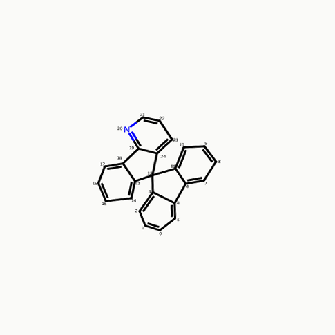 c1ccc2c(c1)-c1ccccc1C21c2ccccc2-c2ncccc21